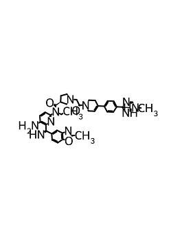 CCN(C(=O)[C@H]1CCN(CC(=O)N2CC=C(c3ccc(C(=N)/N=C\NC)cc3)CC2)C1)c1ccc(N)c(C(=N)c2ccc3oc(C)nc3c2)n1